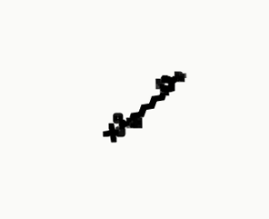 CC(C)(C)OC(=O)NCCCCCCn1cc(Br)cn1